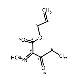 C=CCOC(=O)/C(=N\O)C(=O)CCl